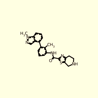 Cc1c(NC(=O)c2nc3c(s2)CNCC3)cccc1-c1cccc2c1cnn2C